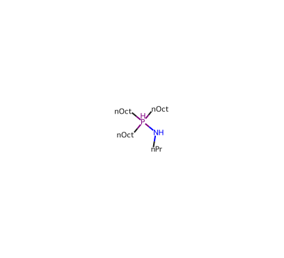 CCCCCCCC[PH](CCCCCCCC)(CCCCCCCC)NCCC